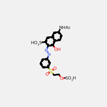 CC(=O)Nc1ccc2c(O)c(/N=N/c3cccc(S(=O)(=O)CCOS(=O)(=O)O)c3)c(S(=O)(=O)O)cc2c1